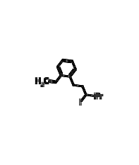 C=Cc1ccccc1CCC(I)C(C)C